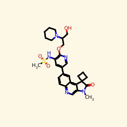 CN1C(=O)C2(CCC2)c2c1cnc1ccc(-c3cnc(OCC(CO)N4CCCCC4)c(NS(C)(=O)=O)c3)cc21